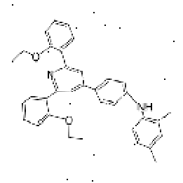 CCOc1ccccc1-c1cc(-c2ccc(Nc3ccc(C)cc3C)cc2)cc(-c2ccccc2OCC)n1